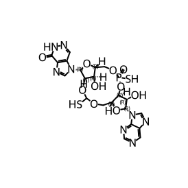 O=c1[nH]ncc2c1ncn2[C@@H]1O[C@@H]2COP(=O)(S)O[C@H]3[C@@H](O)[C@H](n4cnc5cncnc54)O[C@@H]3COC(S)O[C@@H]1[C@@H]2O